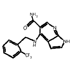 NC(=O)c1cnc2[nH]ccc2c1NCc1ccccc1C(F)(F)F